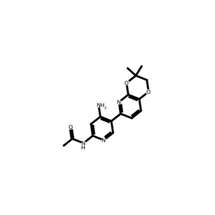 CC(=O)Nc1cc(N)c(-c2ccc3c(n2)OC(C)(C)CO3)cn1